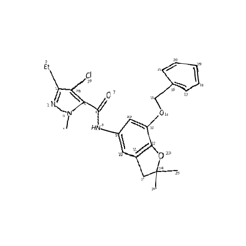 CCc1nn(C)c(C(=O)Nc2cc3c(c(OCc4ccccc4)c2)OC(C)(C)C3)c1Cl